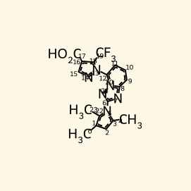 Cc1cc(C)n(-c2nc3cccc(-n4ncc(C(=O)O)c4C(F)(F)F)n3n2)c1C